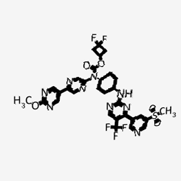 COc1ncc(-c2cnc(N(C(=O)OC3CC(F)(F)C3)[C@H]3CC[C@H](Nc4ncc(C(F)(F)F)c(-c5cncc(S(C)(=O)=O)c5)n4)CC3)cn2)cn1